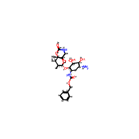 CC1[C@@H](O[C@@H]2C(NC(=O)OCc3ccccc3)C[C@@H](N)C(O)[C@H]2O)OC2CNC(=O)O[C@H]2[C@@H]1C